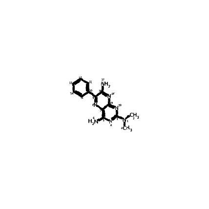 CN(C)c1nc(N)c2nc(-c3ccccc3)c(N)nc2n1